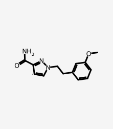 COc1cccc(CCn2c[c]c(C(N)=O)n2)c1